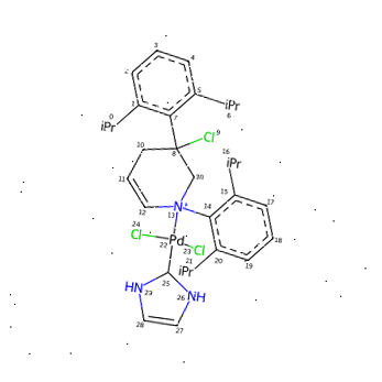 CC(C)c1cccc(C(C)C)c1C1(Cl)CC=C[N+](c2c(C(C)C)cccc2C(C)C)([Pd]([Cl])([Cl])[CH]2NC=CN2)C1